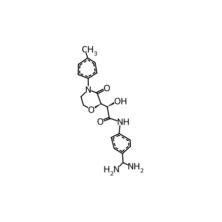 Cc1ccc(N2CCO[C@H]([C@@H](O)C(=O)Nc3ccc(C(N)N)cc3)C2=O)cc1